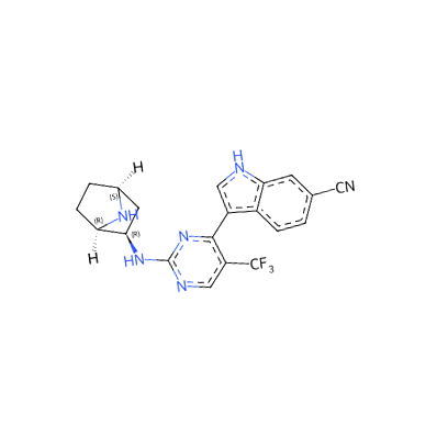 N#Cc1ccc2c(-c3nc(N[C@@H]4C[C@@H]5CC[C@H]4N5)ncc3C(F)(F)F)c[nH]c2c1